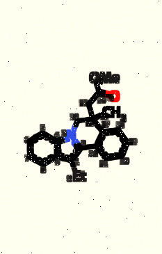 CCc1c2n(c3ccccc13)CC(C)(CC(=O)OC)c1ccccc1-2